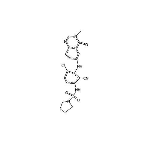 Cn1cnc2ccc(Nc3c(Cl)ccc(NS(=O)(=O)N4CCCC4)c3C#N)cc2c1=O